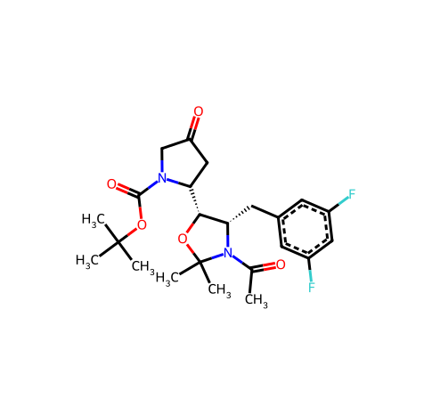 CC(=O)N1[C@@H](Cc2cc(F)cc(F)c2)[C@@H](C2CC(=O)CN2C(=O)OC(C)(C)C)OC1(C)C